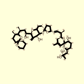 C=C1[C@@H](O)C2O[C@@]3(CCC2O[C@@H]1[C@@H](O)C[C@H](C)C1O[C@@]2(CCCCO2)CC[C@H]1C)CC[C@H](/C=C/[C@@H](C)[C@@H]1CC(C)=C[C@@]2(O[C@H](C[C@@](C)(O)C(=O)O)CC[C@H]2O)O1)O3